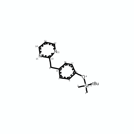 CC(C)(C)[Si](C)(C)Oc1ccc(Cc2ncccn2)cc1